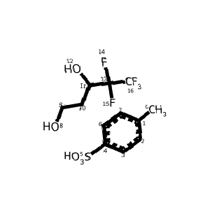 Cc1ccc(S(=O)(=O)O)cc1.OCCC(O)C(F)(F)C(F)(F)F